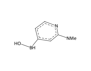 CNc1cc(BO)ccn1